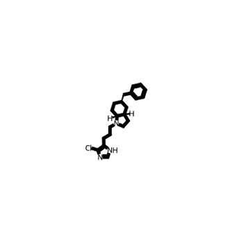 Clc1nc[nH]c1CCCN1CC[C@H]2C[C@H](Cc3ccccc3)CC[C@H]21